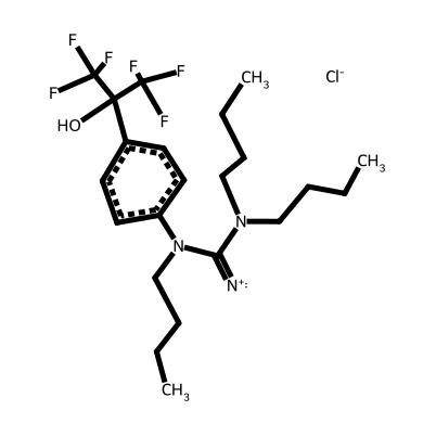 CCCCN(CCCC)C(=[N+])N(CCCC)c1ccc(C(O)(C(F)(F)F)C(F)(F)F)cc1.[Cl-]